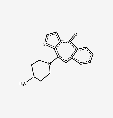 CN1CCN(c2cc3ccccc3c(=O)c3ccsc23)CC1